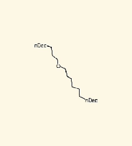 CCCCCCCCCCCCCCCCOCCCCCCCCCCCCC